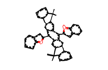 CC1(C)c2ccccc2-c2cc3c(-c4cc5ccccc5o4)c4cc5c(cc4c(-c4cc6ccccc6o4)c3cc21)-c1ccccc1C5(C)C